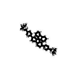 CC1(C)N=C(c2ccc(-c3ccc4c(c3)C3(c5ccccc5-c5ccccc53)c3cc(-c5ccc(C6=NC(C)(C)C(C)(C)O6)cn5)ccc3-4)nc2)OC1(C)C